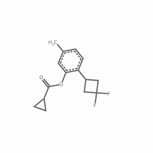 Cc1ccc(C2CC(F)(F)C2)c(OC(=O)C2CC2)c1